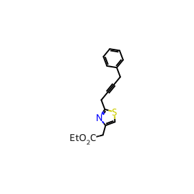 CCOC(=O)Cc1csc(CC#CCc2ccccc2)n1